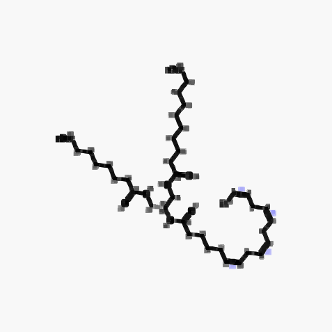 CC/C=C\C/C=C\C/C=C\C/C=C\CCCCC(=O)O[C@H](COC(=O)CCCCCCCCCCCCCCCC)COC(=O)CCCCCCCCCCCCCCCCCC